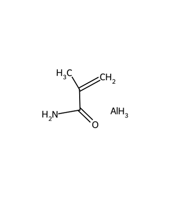 C=C(C)C(N)=O.[AlH3]